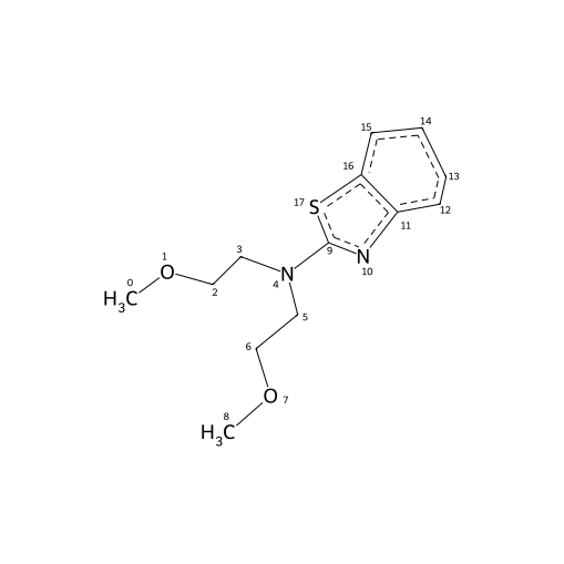 COCCN(CCOC)c1nc2ccccc2s1